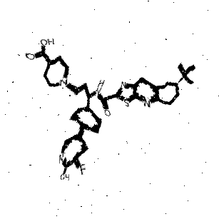 CC(C)(C)[C@H]1CCc2nc3sc(C(=O)NC(CCN4CCC(C(=O)O)CC4)c4ccc(-c5cnc(O)c(F)c5)cc4)nc3cc2C1